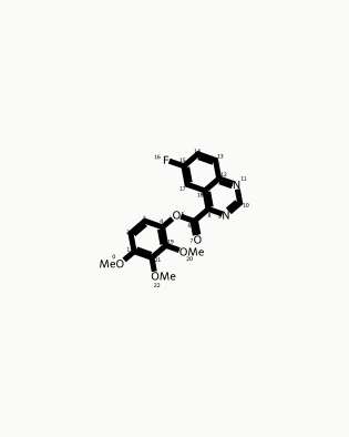 COc1ccc(OC(=O)c2ncnc3ccc(F)cc23)c(OC)c1OC